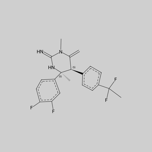 C=C1[C@@H](c2ccc(C(C)(F)F)cc2)[C@@](C)(c2ccc(F)c(F)c2)NC(=N)N1C